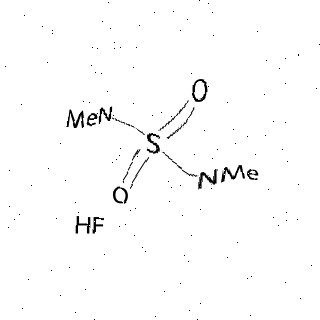 CNS(=O)(=O)NC.F